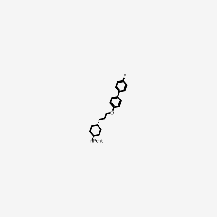 CCCCC[C@H]1CC[C@H](CCCOc2ccc(-c3ccc(F)cc3)cc2)CC1